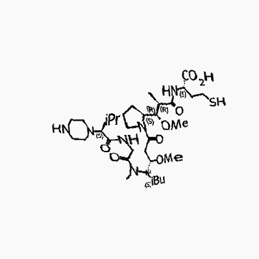 CC[C@H](C)[C@@H](C(CC(=O)N1CCC[C@H]1[C@H](OC)[C@@H](C)C(=O)N[C@@H](CCS)C(=O)O)OC)N(C)C(=O)CNC(=O)[C@H](C(C)C)N1CCNCC1